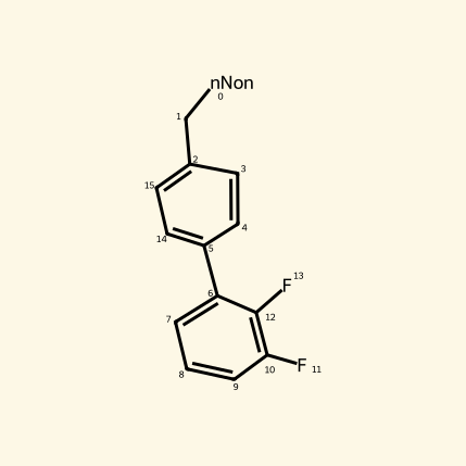 CCCCCCCCCCc1ccc(-c2cccc(F)c2F)cc1